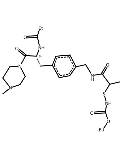 CCC(=O)N[C@H](Cc1ccc(CNC(=O)C(C)SNC(=O)OC(C)(C)C)cc1)C(=O)N1CCN(C)CC1